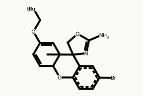 CC(C)(C)COC1=CC2(C)C(C=C1)Oc1ccc(Br)cc1C21COC(N)=N1